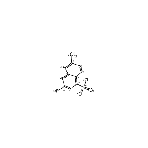 Cc1ccc2c(S(=O)(=O)Cl)cc(F)cc2n1